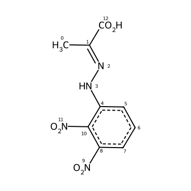 CC(=NNc1cccc([N+](=O)[O-])c1[N+](=O)[O-])C(=O)O